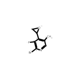 Cc1cnc(Br)c(F)c1C1CO1